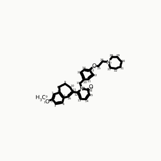 COc1ccc2c(c1)CCCC(c1cccc(=O)n1Cc1ccc(OCCN3CCCCCC3)cc1)=C2